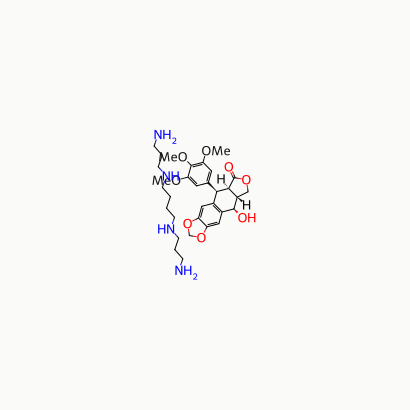 COc1cc([C@@H]2c3cc4c(cc3[C@H](O)[C@H]3COC(=O)[C@H]23)OCO4)cc(OC)c1OC.NCCCNCCCCNCCCN